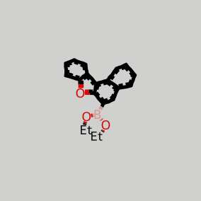 CCOB(OCC)c1cc2ccccc2c2c1oc1ccccc12